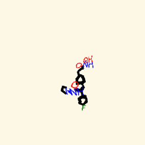 O=C(/C=C/c1ccc(C=C(C(=O)NN2CCCC2)c2ccc(F)cc2)cc1)NO